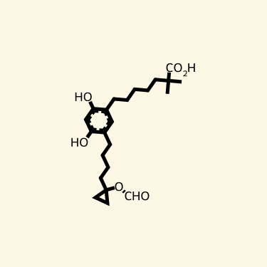 CC(C)(CCCCCc1cc(CCCCC2(OC=O)CC2)c(O)cc1O)C(=O)O